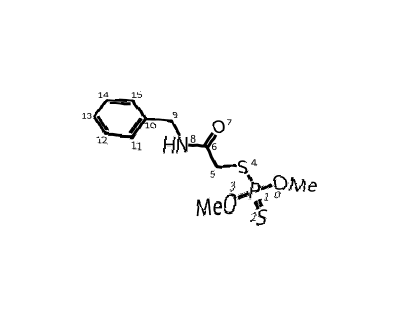 COP(=S)(OC)SCC(=O)NCc1ccccc1